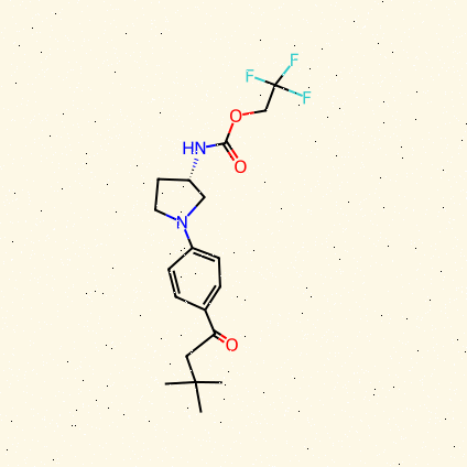 CC(C)(C)CC(=O)c1ccc(N2CC[C@H](NC(=O)OCC(F)(F)F)C2)cc1